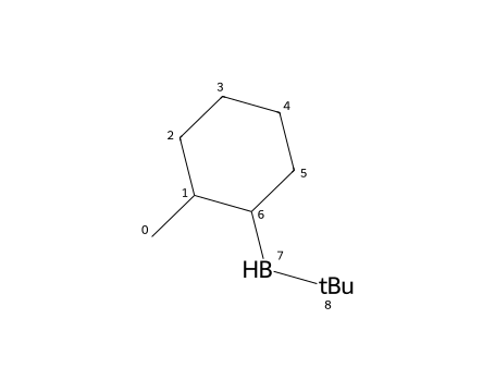 CC1CCCCC1BC(C)(C)C